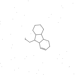 ICC1C2C=CCCC2C2CCCCC12